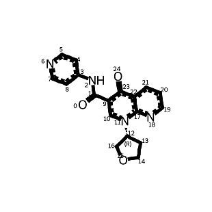 O=C(Nc1ccncc1)c1cn([C@@H]2CCOC2)c2ncccc2c1=O